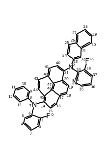 Fc1ccccc1N(c1ccccc1)c1ccc2ccc3c(N(c4ccc5ccccc5c4)c4ncccc4F)ccc4ccc1c2c43